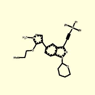 CNCCOc1c(-c2ccc3c(c2)c(C#C[Si](C(C)C)(C(C)C)C(C)C)nn3C2CCCCO2)cnn1C